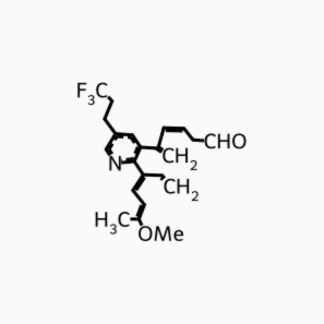 C=C/C(=C\C=C(/C)OC)c1ncc(CCC(F)(F)F)cc1C(=C)/C=C\CC=O